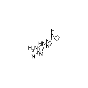 CN(C)CCn1ncc2cc(Nc3nccc(-c4c[nH]c5ccccc45)n3)cc(N)c21